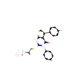 O=C(CSc1nc2scc(-c3ccc(F)cc3)c2c(=O)n1-c1ccc(F)cc1)NO